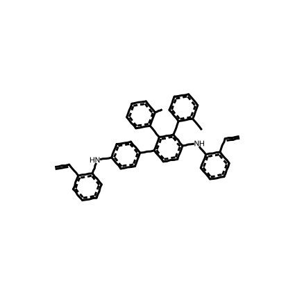 C=Cc1ccccc1Nc1ccc(-c2ccc(Nc3ccccc3C=C)c(-c3ccccc3C)c2-c2ccccc2C)cc1